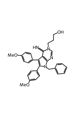 COc1ccc(-c2c(-c3ccc(OC)cc3)n(Cc3ccccc3)c3ncn(CCCO)c(=N)c23)cc1